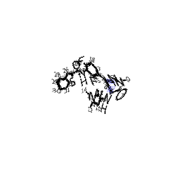 CN/N=C(\C=C(/C=O)Nc1cc(C)n(C)n1)c1ccc(F)c(NC(=O)c2cc3ccccc3s2)c1F